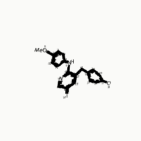 COc1ccc(Nc2ncc(I)cc2Cc2ccc(Cl)cc2)cc1